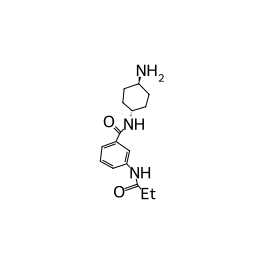 CCC(=O)Nc1cccc(C(=O)N[C@H]2CC[C@H](N)CC2)c1